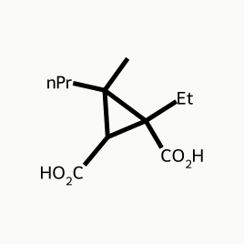 CCCC1(C)C(C(=O)O)C1(CC)C(=O)O